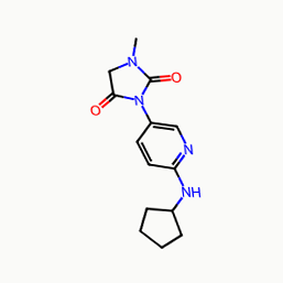 CN1CC(=O)N(c2ccc(NC3CCCC3)nc2)C1=O